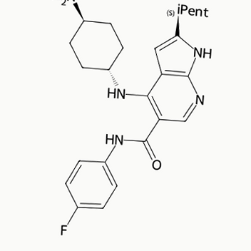 CCC[C@H](C)c1cc2c(N[C@H]3CC[C@H](N)CC3)c(C(=O)Nc3ccc(F)cc3)cnc2[nH]1